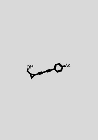 CC(=O)c1ccc(C#CC#CC2CC2CO)cc1